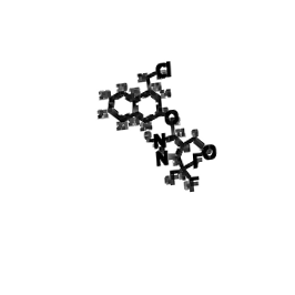 Cn1nc(C(F)(F)F)c(C=O)c1Oc1cc(CCl)c2ccccc2c1